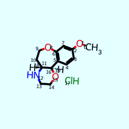 COc1ccc2c(c1)OCC[C@H]1NCCO[C@H]21.Cl